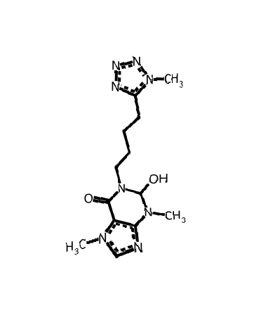 CN1c2ncn(C)c2C(=O)N(CCCCc2nnnn2C)C1O